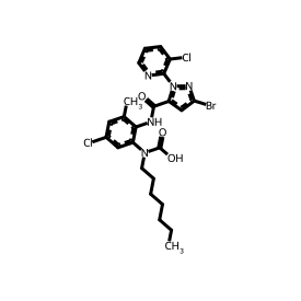 CCCCCCCN(C(=O)O)c1cc(Cl)cc(C)c1NC(=O)c1cc(Br)nn1-c1ncccc1Cl